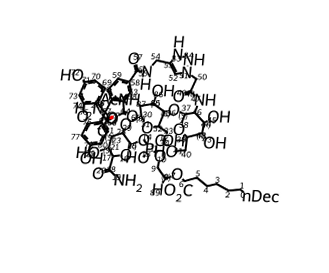 CCCCCCCCCCCCCCCCO[C@H](COP(=O)(O)O[C@H]1OC(C(N)=O)[C@@H](O)[C@H](OC(N)=O)C1O[C@@H]1OC(CO)[C@@H](O[C@@H]2OC(CO)[C@H](O)[C@H](O)C2NC(=O)CN2C=C(CNC(=O)c3ccc4c(c3)C(=O)OC43c4ccc(O)cc4Oc4cc(O)ccc43)NN2)[C@H](O)C1NC(C)=O)C(=O)O